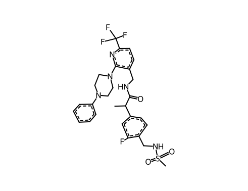 CC(C(=O)NCc1ccc(C(F)(F)F)nc1N1CCN(c2ccccc2)CC1)c1ccc(CNS(C)(=O)=O)c(F)c1